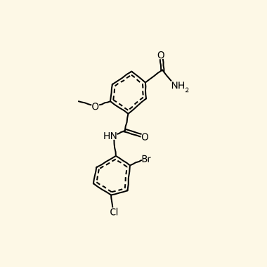 COc1ccc(C(N)=O)cc1C(=O)Nc1ccc(Cl)cc1Br